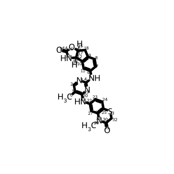 Cc1cnc(Nc2ccc3c(c2)[C@H]2NC(=O)O[C@H]2C3)nc1Nc1ccc2c(c1)N(C)C(=O)CS2